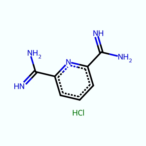 Cl.N=C(N)c1cccc(C(=N)N)n1